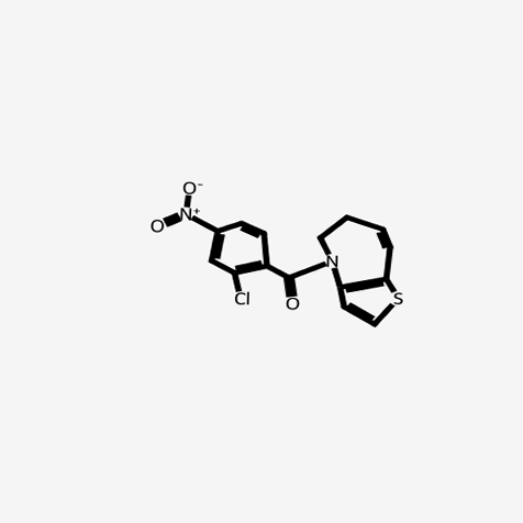 O=C(c1ccc([N+](=O)[O-])cc1Cl)N1CCC=Cc2sccc21